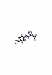 O=C(/C=C/c1ccc(Cl)cc1)C1CC1